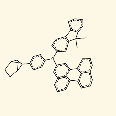 CC1(C)c2ccccc2-c2ccc(N(c3ccc(C4CC5CCC4C5)cc3)c3cccc(-c4cccc5cccc(-c6ccccc6)c45)c3)cc21